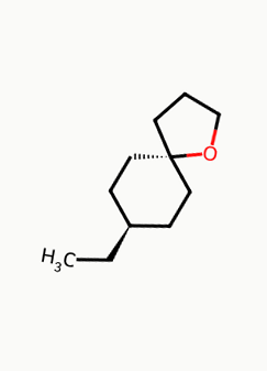 CC[C@H]1CC[C@@]2(CCCO2)CC1